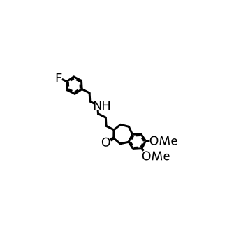 COc1cc2c(cc1OC)CC(=O)C(CCCNCCc1ccc(F)cc1)CC2